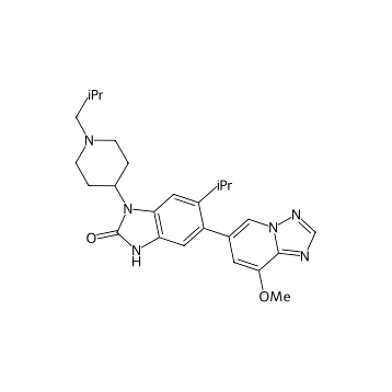 COc1cc(-c2cc3[nH]c(=O)n(C4CCN(CC(C)C)CC4)c3cc2C(C)C)cn2ncnc12